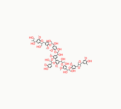 COc1cc(C2Oc3c(OC)cc(C(O)C(CO)Oc4ccc(C(O)C(CO)Oc5ccc(C6OCC7C(c8cc(C)c(O)c(OC)c8)OCC67)cc5OC)cc4OC)cc3-c3cc(C(O)C(CO)Oc4ccc(C(O)C(CO)Oc5ccc(C6Oc7c(OC)cc(C(O)C(C)CO)cc7C6CO)cc5OC)cc4OC)cc(OC)c3OC2CO)ccc1O